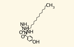 CCCCCCCCCCCCCCNN(C(=O)NCN)C(=O)c1ccc(O)cc1